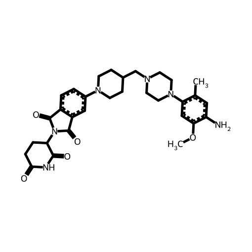 COc1cc(N2CCN(CC3CCN(c4ccc5c(c4)C(=O)N(C4CCC(=O)NC4=O)C5=O)CC3)CC2)c(C)cc1N